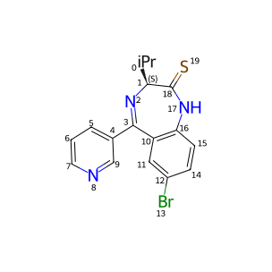 CC(C)[C@@H]1N=C(c2cccnc2)c2cc(Br)ccc2NC1=S